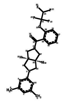 Cc1cc(C)nc(N2C[C@H]3CN(C(=O)c4ccccc4OC(F)(F)C(F)F)C[C@H]3C2)n1